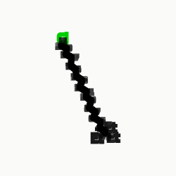 CCC(CC)(CC)CCCCCCCCCCCCCCCCCCl